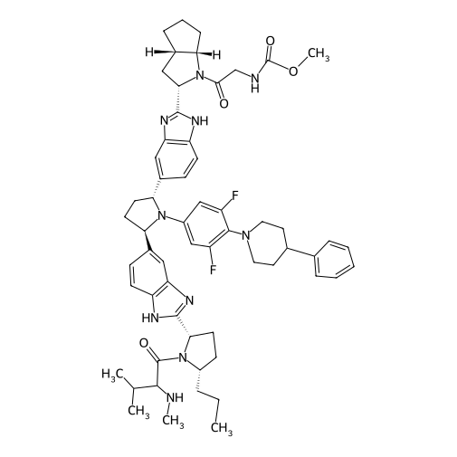 CCC[C@H]1CC[C@@H](c2nc3cc([C@H]4CC[C@H](c5ccc6[nH]c([C@@H]7C[C@@H]8CCC[C@@H]8N7C(=O)CNC(=O)OC)nc6c5)N4c4cc(F)c(N5CCC(c6ccccc6)CC5)c(F)c4)ccc3[nH]2)N1C(=O)C(NC)C(C)C